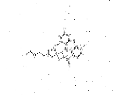 CCOCCNCC1(O)CN(C(=O)c2ccc(F)c(F)c2Nc2ccc(I)cc2F)C1